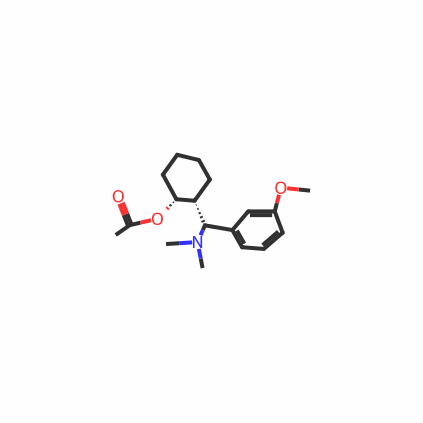 COc1cccc(C([C@H]2CCCC[C@H]2OC(C)=O)N(C)C)c1